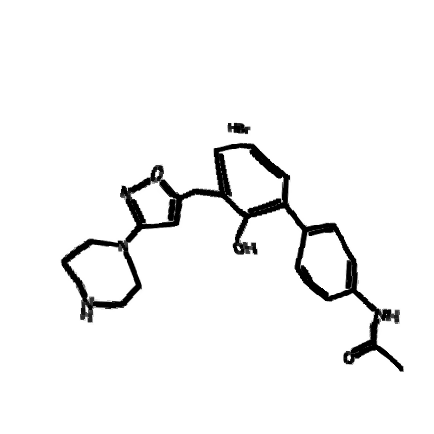 Br.CC(=O)Nc1ccc(-c2cccc(-c3cc(N4CCNCC4)no3)c2O)cc1